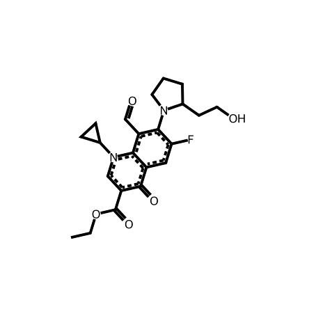 CCOC(=O)c1cn(C2CC2)c2c(C=O)c(N3CCCC3CCO)c(F)cc2c1=O